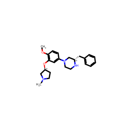 COc1ccc(N2CCN[C@@H](Cc3ccccc3)C2)cc1O[C@H]1CCN(C)C1